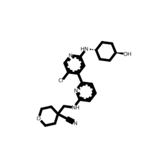 N#CC1(CNc2cccc(-c3cc(N[C@H]4CC[C@H](O)CC4)ncc3Cl)n2)CCOCC1